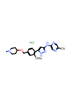 COc1cc(COC2CCN(C)CC2)ccc1-c1cc(Nc2cnc(C#N)cn2)n[nH]1.Cl